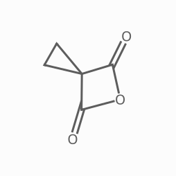 O=C1OC(=O)C12CC2